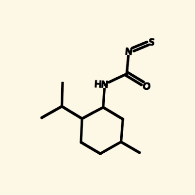 CC1CCC(C(C)C)C(NC(=O)N=S)C1